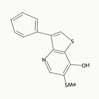 CSc1cnc2c(-c3ccccc3)csc2c1O